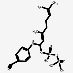 CC(C)=CCC/C(C)=C/C(Nc1ccc(C#N)cc1)OP(=O)(O)OP(=O)(O)O